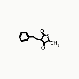 CC1SC(=O)C(CCc2ccccc2)C1=O